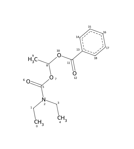 CCN(CC)C(=O)OC(C)OC(=O)c1ccccc1